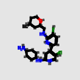 N#CC1CCOC(CNc2nc(-c3cc(N[C@H]4CC[C@H](N)CC4)ncc3Cl)ccc2F)C1